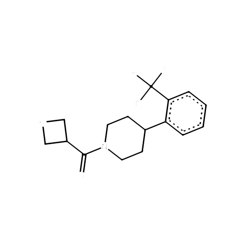 O=C(C1COC1)N1CCC(c2ccccc2C(F)(F)F)CC1